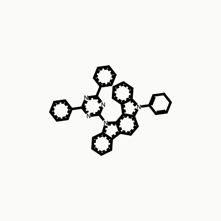 C1=CC(n2c3ccccc3c3c2ccc2c4ccccc4n(-c4nc(-c5ccccc5)nc(-c5ccccc5)n4)c23)=CCC1